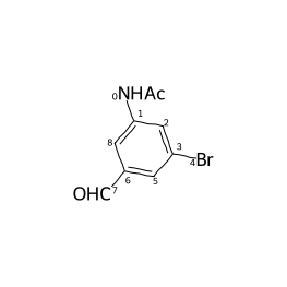 CC(=O)Nc1cc(Br)cc(C=O)c1